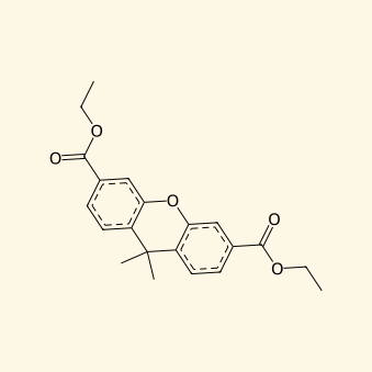 CCOC(=O)c1ccc2c(c1)Oc1cc(C(=O)OCC)ccc1C2(C)C